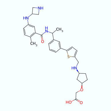 Cc1ccc(NC2CNC2)cc1C(=O)NC(C)c1cccc(-c2ccc(CN[C@H]3CC[C@@H](OCC(=O)O)C3)s2)c1